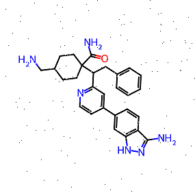 NCC1CCC(C(N)=O)(C(Cc2ccccc2)c2cc(-c3ccc4c(N)n[nH]c4c3)ccn2)CC1